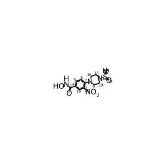 O=C(NO)c1ccc(N2CCN([SH](=O)=O)CC2)c([N+](=O)[O-])c1